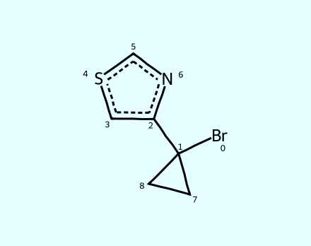 BrC1(c2cscn2)CC1